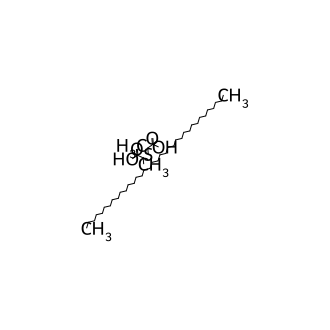 CC(SC(C)C(=O)O)C(=O)O.CCCCCCCCCCCCCCCCCCCCCCCCCCCCCCCCCCCC